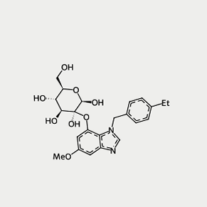 CCc1ccc(Cn2cnc3cc(OC)cc(O[C@]4(O)[C@H](O)O[C@H](CO)[C@@H](O)[C@@H]4O)c32)cc1